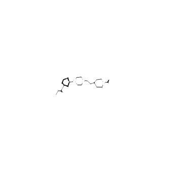 CCC(=O)c1cccc(N2CCN(CCC3CCN(C(=O)O)CC3)CC2)c1